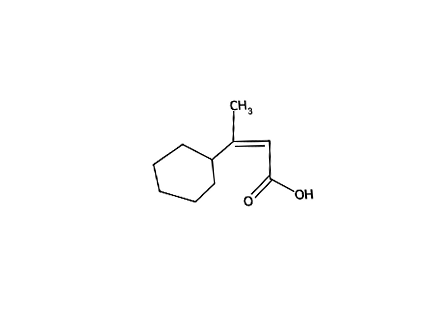 C/C(=C/C(=O)O)C1CCCCC1